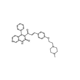 CN1CCN(CCOc2ccc(/C=C/C(=O)c3c(-c4ccccc4)c4ccncc4[nH]c3=O)cc2)CC1